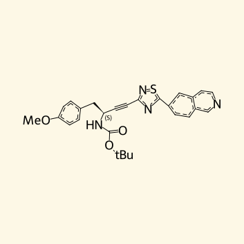 COc1ccc(C[C@@H](C#Cc2nsc(-c3ccc4cnccc4c3)n2)NC(=O)OC(C)(C)C)cc1